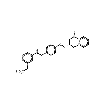 CN1C[C@@H](COc2ccc(CNc3cccc(CC(=O)O)c3)cc2)Oc2ccccc21